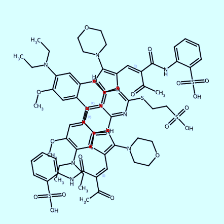 CCN(CC)c1cc(Nc2nc(Nc3cc(N(CC)CC)c(OC)cc3/N=N/c3nc(N4CCOCC4)c(/C=C(\C(C)=O)C(=O)Nc4ccccc4S(=O)(=O)O)s3)nc(SCCS(=O)(=O)O)n2)c(/N=N/c2nc(N3CCOCC3)c(/C=C(/C(C)=O)C(=O)Nc3ccccc3S(=O)(=O)O)s2)cc1OC